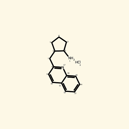 Cl.NC1CCCC1Cc1ccc2ccccc2n1